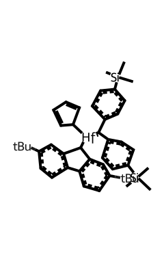 CC(C)(C)c1ccc2c(c1)[CH]([Hf](=[C](c1ccc([Si](C)(C)C)cc1)c1ccc([Si](C)(C)C)cc1)[CH]1C=CC=C1)c1cc(C(C)(C)C)ccc1-2